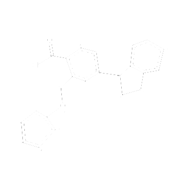 O=C(Cl)c1ccc(C2CCc3ccccc32)cc1COc1ccccc1